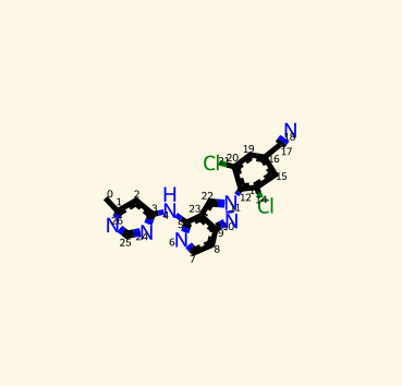 Cc1cc(Nc2nccc3nn(-c4c(Cl)cc(C#N)cc4Cl)cc23)ncn1